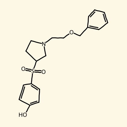 O=S(=O)(c1ccc(O)cc1)C1CCN(CCOCc2ccccc2)C1